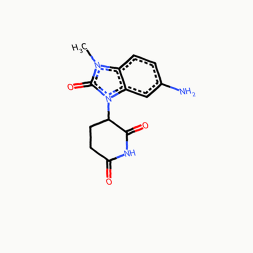 Cn1c(=O)n(C2CCC(=O)NC2=O)c2cc(N)ccc21